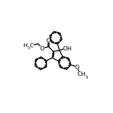 CCOC(=O)C1=C(c2ccccc2)c2ccc(OC)cc2C1(O)c1ccccc1